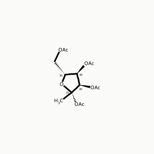 CC(=O)OC[C@H]1O[C@@](C)(OC(C)=O)[C@H](OC(C)=O)[C@@H]1OC(C)=O